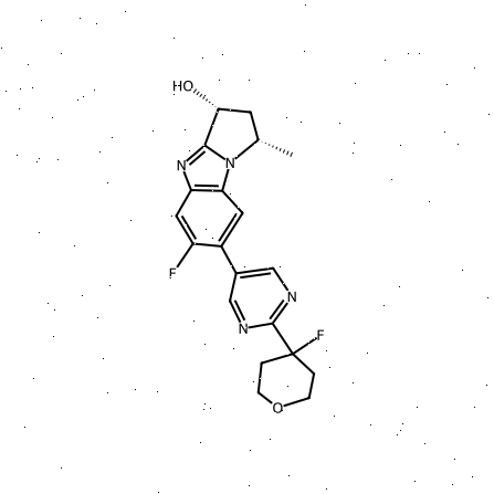 C[C@H]1C[C@@H](O)c2nc3cc(F)c(-c4cnc(C5(F)CCOCC5)nc4)cc3n21